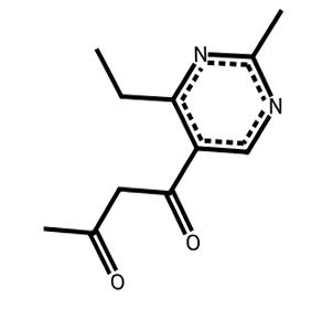 CCc1nc(C)ncc1C(=O)CC(C)=O